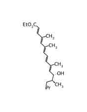 CCOC(=O)/C=C/C(C)=C/C(C)=C/C=C/C(C)=C/[C@H](O)[C@@H](C)CC(C)C